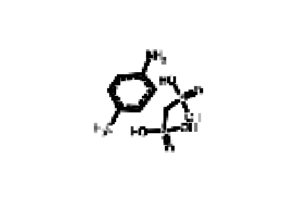 Cc1ccc(N)cc1.O=P(O)(O)CP(=O)(O)O